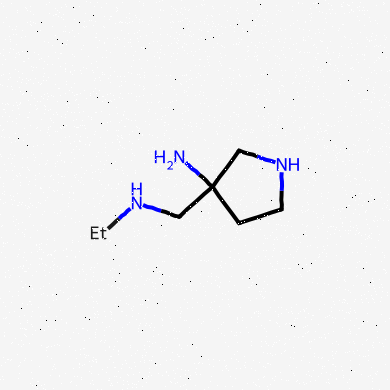 CCNCC1(N)CCNC1